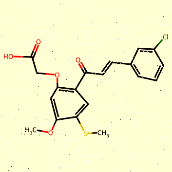 COc1cc(OCC(=O)O)c(C(=O)C=Cc2cccc(Cl)c2)cc1SC